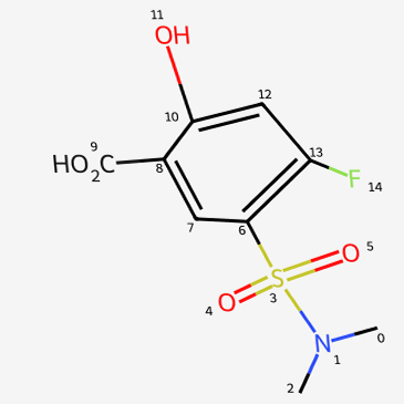 CN(C)S(=O)(=O)c1cc(C(=O)O)c(O)cc1F